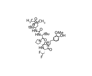 COc1cc(CCNC(=O)[C@H](CC(F)F)NC(=O)[C@@H]2CCCN2C(=O)[C@@H](NC(=O)N[C@H](CN(C)S(C)(=O)=O)C(C)(C)C)C(C)(C)C)ccc1O